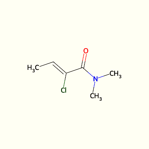 C/C=C(\Cl)C(=O)N(C)C